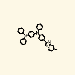 Cc1ccn2cc(-c3ccc(N(c4ccccc4)c4ccc(N(c5ccccc5)c5ccccc5)cc4)cc3)nc2c1